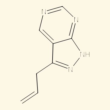 C=CCc1n[nH]c2ncncc12